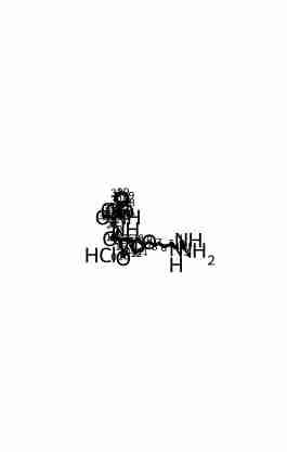 Cl.N=C(N)NCCCCOc1ccn2c(=O)cc(C(=O)NC[C@H](NS(=O)(=O)c3ccccc3)C(=O)O)cc2c1